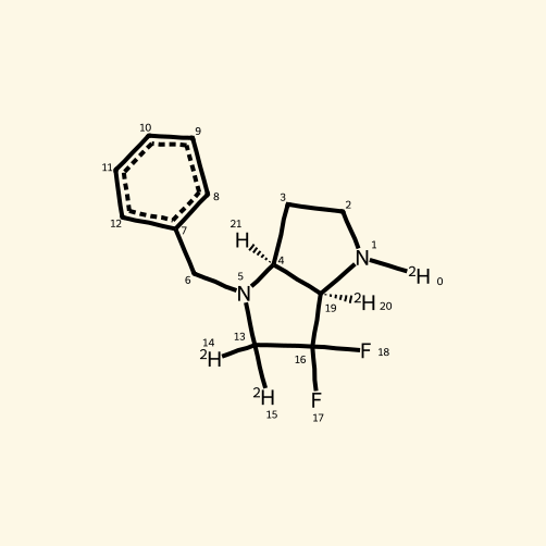 [2H]N1CC[C@@H]2N(Cc3ccccc3)C([2H])([2H])C(F)(F)[C@@]21[2H]